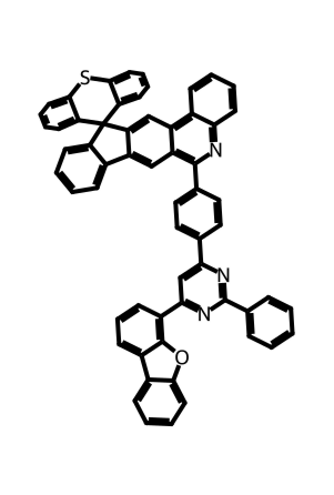 c1ccc(-c2nc(-c3ccc(-c4nc5ccccc5c5cc6c(cc45)-c4ccccc4C64c5ccccc5Sc5ccccc54)cc3)cc(-c3cccc4c3oc3ccccc34)n2)cc1